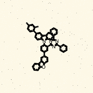 Cc1ccc(-c2ccc3c(c2)c2ccccc2n3-c2ccc(-c3ccc4oc5ccccc5c4c3)cc2-c2nc(-c3ccccc3)nc(-c3ccccc3)n2)c(C)c1